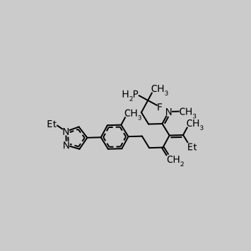 C=C(CCc1ccc(-c2cnn(CC)c2)cc1C)C(/C(CCC(C)(F)P)=N\C)=C(/C)CC